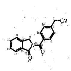 N#CCc1ccc(C(=O)N2Cc3ccccc3C2=O)cc1